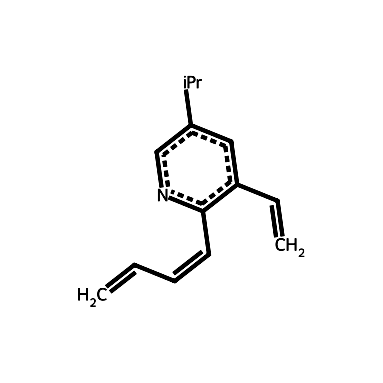 C=C/C=C\c1ncc(C(C)C)cc1C=C